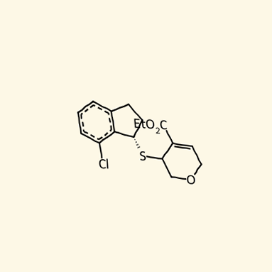 CCOC(=O)C1=CCOCC1S[C@H]1CCc2cccc(Cl)c21